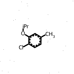 Cc1ccc(Cl)c(OC(C)C)c1